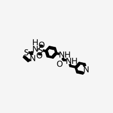 O=C(NCc1ccncc1)Nc1ccc(S(=O)(=O)Nc2nccs2)cc1